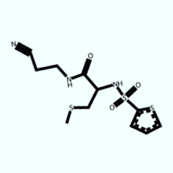 CSCC(NS(=O)(=O)c1cccs1)C(=O)NCCC#N